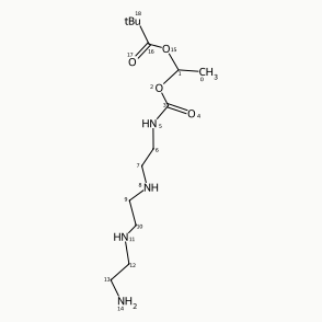 CC(OC(=O)NCCNCCNCCN)OC(=O)C(C)(C)C